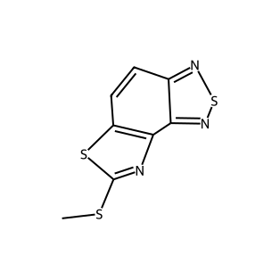 CSc1nc2c(ccc3nsnc32)s1